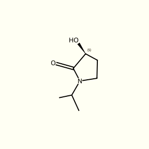 CC(C)N1CC[C@H](O)C1=O